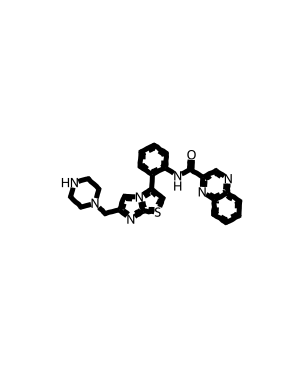 O=C(Nc1ccccc1-c1csc2nc(CN3CCNCC3)cn12)c1cnc2ccccc2n1